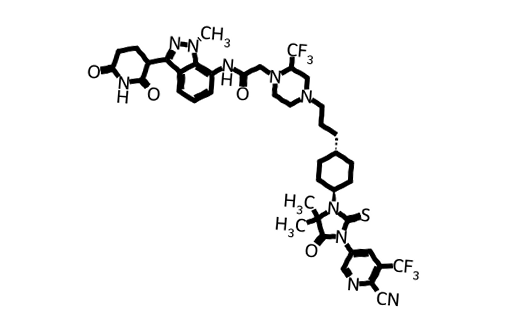 Cn1nc(C2CCC(=O)NC2=O)c2cccc(NC(=O)CN3CCN(CCC[C@H]4CC[C@H](N5C(=S)N(c6cnc(C#N)c(C(F)(F)F)c6)C(=O)C5(C)C)CC4)CC3C(F)(F)F)c21